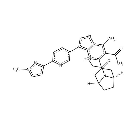 CC(=O)c1c(C2C[C@H]3CC[C@@H](C2)N3C(=O)CO)nc2c(-c3ccc(-c4ccn(C)n4)nc3)cnn2c1N